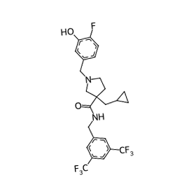 O=C(NCc1cc(C(F)(F)F)cc(C(F)(F)F)c1)C1(CC2CC2)CCN(Cc2ccc(F)c(O)c2)C1